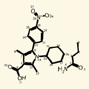 CCCC(N)=O.Cc1c(C(=O)O)c(C)n(C2CCCCC2)c1-c1ccc([N+](=O)[O-])cc1